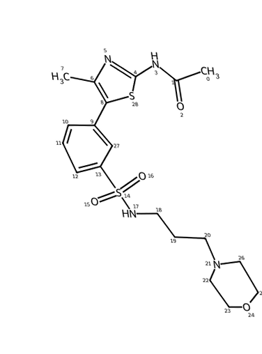 CC(=O)Nc1nc(C)c(-c2cccc(S(=O)(=O)NCCCN3CCOCC3)c2)s1